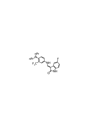 CCCN(CCC)c1ccc(N/C=C2/C(=O)Nc3ccc(F)cc32)cc1C(F)(F)F